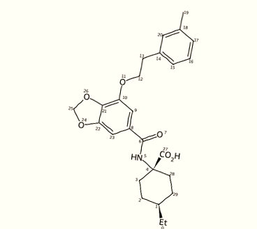 CC[C@H]1CC[C@@](NC(=O)c2cc(OCCc3cccc(C)c3)c3c(c2)OCO3)(C(=O)O)CC1